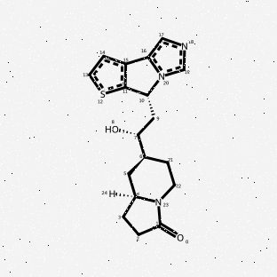 O=C1CC[C@H]2C[C@@H]([C@H](O)C[C@@H]3c4sccc4-c4cncn43)CCN12